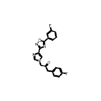 O=C(Cc1ccc(F)cc1)Cn1cnc(-c2noc(-c3cccc(F)c3)n2)c1